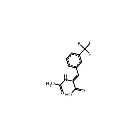 CC(=O)NC(=Cc1cccc(C(F)(F)F)c1)C(=O)O